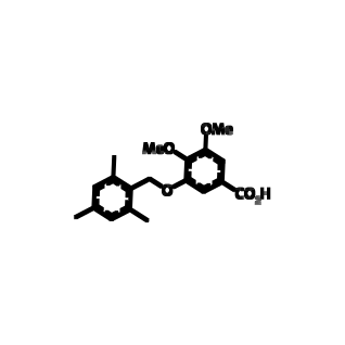 COc1cc(C(=O)O)cc(OCc2c(C)cc(C)cc2C)c1OC